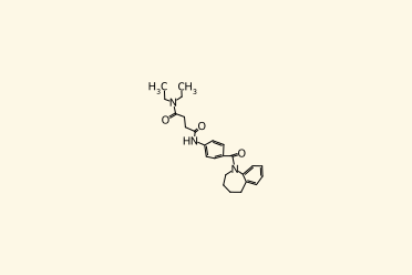 CCN(CC)C(=O)CCC(=O)Nc1ccc(C(=O)N2CCCCc3ccccc32)cc1